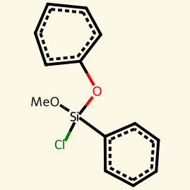 CO[Si](Cl)(Oc1ccccc1)c1ccccc1